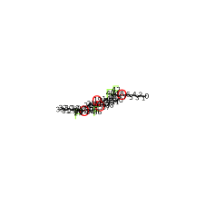 CCCCCCCCOc1ccc(-c2ccc(OC(=O)c3ccc(OC[C@H](F)CCCCCC)cc3F)cc2)c(F)c1F